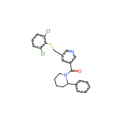 O=C(c1cncc(CSc2c(Cl)cccc2Cl)c1)N1CCCCC1c1ccccc1